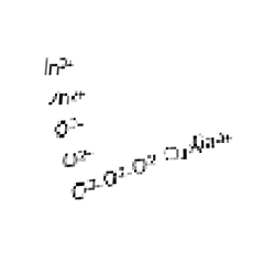 [Cu+2].[Ga+3].[In+3].[O-2].[O-2].[O-2].[O-2].[O-2].[Zn+2]